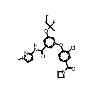 Cn1ccc(NC(=O)c2cc(Oc3ccc(C(=O)N4CCC4)cc3Cl)cc(OC(C)(F)CF)c2)n1